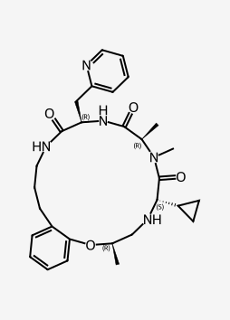 C[C@@H]1CN[C@@H](C2CC2)C(=O)N(C)[C@H](C)C(=O)N[C@H](Cc2ccccn2)C(=O)NCCCc2ccccc2O1